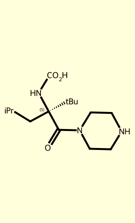 CC(C)C[C@@](NC(=O)O)(C(=O)N1CCNCC1)C(C)(C)C